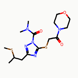 CSC(C)Cc1nc(SCC(=O)N2CCOCC2)n(C(=O)N(C)C)n1